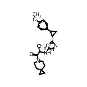 COc1ccc(C2C[C@@H]2c2nnc(N[C@H](C)C(=O)N3CCC4(CC3)CC4)o2)cc1